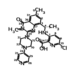 Cc1cc([C@H](C)Nc2ccc(Cl)nc2C(=O)O)c2nc(N3CCN(c4ccncc4)CC3)n(C)c(=O)c2c1